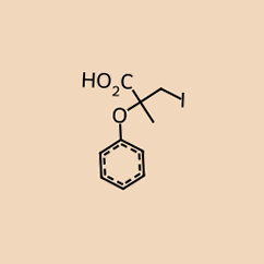 CC(CI)(Oc1ccccc1)C(=O)O